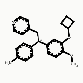 COc1ccc([C@H](Cc2ccncc2)c2ccc(N)cc2)cc1OC1CCC1